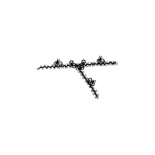 CCCCCCCCCC(CCCCCCCC(=O)OCC(COC(=O)CCCCCCCC(CCCCCCCCC)OC(C)=O)OC(=O)CCCCCCCC(CCCCCCCCC)OC(C)=O)OC(C)=O